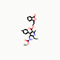 Cc1ccc(-c2c(CNC(=O)OC(C)(C)C)c(CC(C)C)nc(C)c2C(=O)OC/C=C2/OC(=O)c3ccccc32)cc1